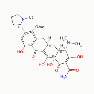 CCN1CCC[C@H]1c1cc(O)c2c(c1OC)C[C@H]1C[C@H]3[C@H](N(C)C)C(O)=C(C(N)=O)C(=O)[C@@]3(O)C(O)=C1C2=O